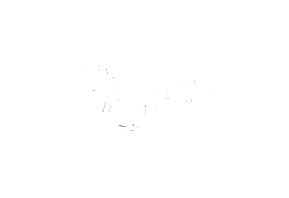 [SbH6-3].[SbH6-3].[SbH6-3].[SbH6-3].[Ti+4].[Ti+4].[Ti+4]